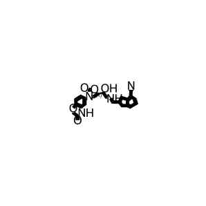 N#Cc1cccc2c1CC(CNCC(O)[C@H]1CN(c3ccc4c(c3)NC(=O)CO4)C(=O)O1)C2